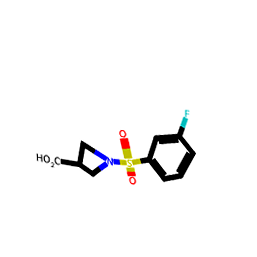 O=C(O)C1CN(S(=O)(=O)c2cccc(F)c2)C1